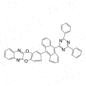 c1ccc(-c2nc(-c3ccccc3)nc(-c3c4ccccc4c(-c4ccc5c(c4)Oc4nc6ccccc6nc4O5)c4ccccc34)n2)cc1